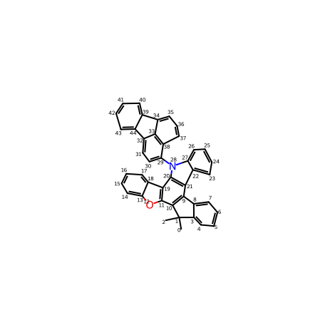 CC1(C)c2ccccc2-c2c1c1oc3ccccc3c1c1c2c2ccccc2n1-c1ccc2c3c(cccc13)-c1ccccc1-2